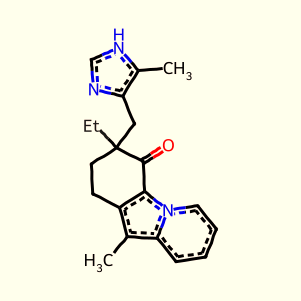 CCC1(Cc2nc[nH]c2C)CCc2c(C)c3ccccn3c2C1=O